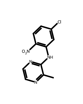 Cc1nccnc1Nc1cc(Cl)ccc1[N+](=O)[O-]